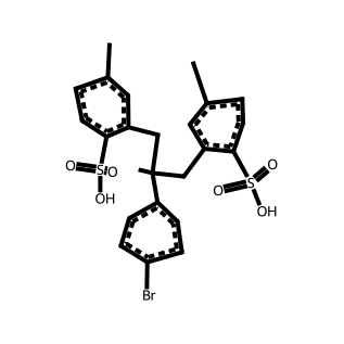 Cc1ccc(S(=O)(=O)O)c(CC(C)(Cc2cc(C)ccc2S(=O)(=O)O)c2ccc(Br)cc2)c1